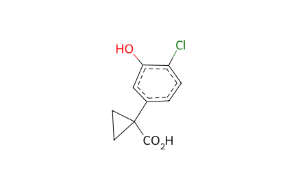 O=C(O)C1(c2ccc(Cl)c(O)c2)CC1